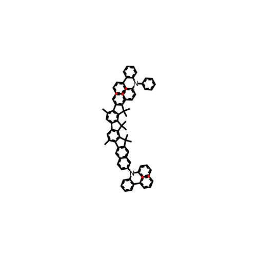 Cc1cc2c(c3c1-c1cc4ccc(N(c5ccccc5)c5ccccc5-c5ccccc5)cc4cc1C3(C)C)C(C)(C)c1c-2cc(C)c2c1C(C)(C)c1c-2ccc2cc(N(c3ccccc3)c3ccccc3-c3ccccc3)ccc12